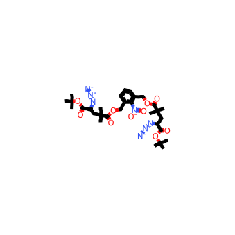 CC(C)(C)OC(=O)C(CC(C)(C)C(=O)OCc1cccc(COC(=O)C(C)(C)CC(N=[N+]=[N-])C(=O)OC(C)(C)C)c1[N+](=O)[O-])N=[N+]=[N-]